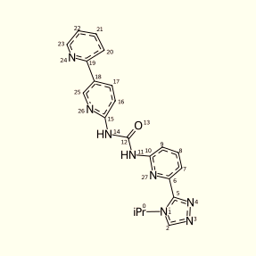 CC(C)n1cnnc1-c1cccc(NC(=O)Nc2ccc(-c3ccccn3)cn2)n1